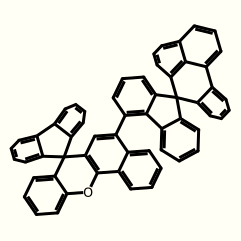 c1ccc2c(c1)Oc1c(cc(-c3cccc4c3-c3ccccc3C43c4ccccc4-c4cccc5cccc3c45)c3ccccc13)C21c2ccccc2-c2ccccc21